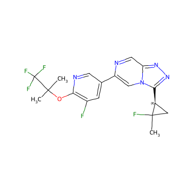 CC1(F)C[C@@H]1c1nnc2cnc(-c3cnc(OC(C)(C)C(F)(F)F)c(F)c3)cn12